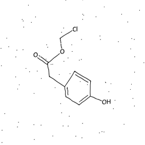 O=C(Cc1ccc(O)cc1)OCCl